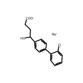 O=C([O-])CCC(O)c1ccc(-c2ccccc2Cl)cc1.[Na+]